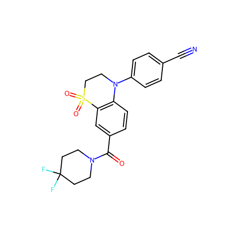 N#Cc1ccc(N2CCS(=O)(=O)c3cc(C(=O)N4CCC(F)(F)CC4)ccc32)cc1